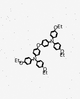 CCOc1ccc(N(c2ccc(OCC)cc2)c2ccc(Oc3ccc(N(c4ccc(OCC)cc4)c4ccc(OCC)cc4)cc3)cc2)cc1